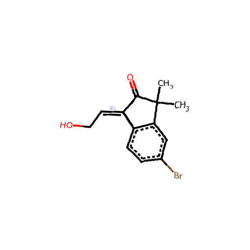 CC1(C)C(=O)/C(=C/CO)c2ccc(Br)cc21